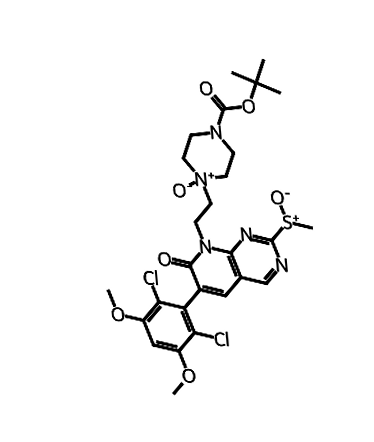 COc1cc(OC)c(Cl)c(-c2cc3cnc([S+](C)[O-])nc3n(CC[N+]3([O-])CCN(C(=O)OC(C)(C)C)CC3)c2=O)c1Cl